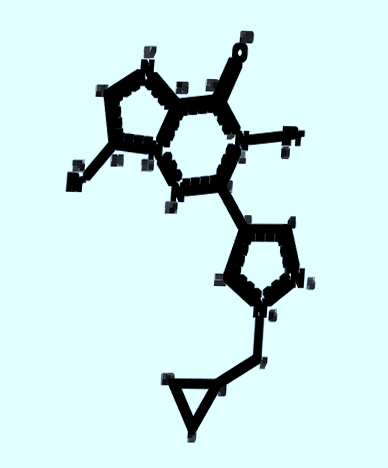 CC(C)n1c(-c2cnn(CC3CC3)c2)nn2c(Br)cnc2c1=O